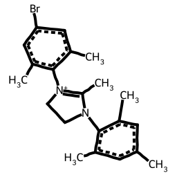 CC1=[N+](c2c(C)cc(Br)cc2C)CCN1c1c(C)cc(C)cc1C